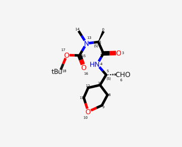 C[C@@H](C(=O)N[C@H](C=O)C1CCOCC1)N(C)C(=O)OC(C)(C)C